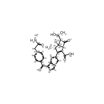 C[C@@H](O)[C@H]1C(=O)N2C(C(=O)O)=C(c3cn4cnc(C(=O)c5cc[n+](CC(N)=O)cc5)c4s3)[C@H](C)[C@H]12.[I-]